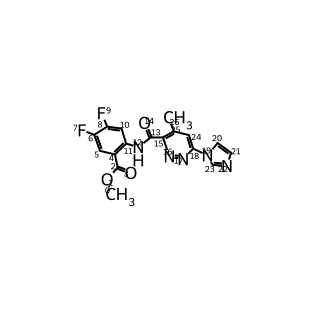 COC(=O)c1cc(F)c(F)cc1NC(=O)c1nnc(-n2ccnc2)cc1C